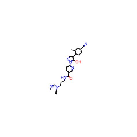 C#CN(/C=N\C)CCCNC(=O)c1ccc(-n2ncc(-c3ccc(C#N)cc3C)c2O)nc1